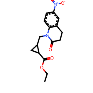 CCOC(=O)C1CC1CN1C(=O)CCc2cc([N+](=O)[O-])ccc21